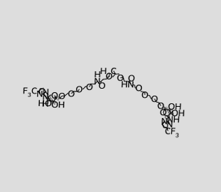 CC(COCCC(=O)NCCOCCOCCOCCOC[C@H]1OC[C@H](Nc2nccc(C(F)(F)F)n2)[C@@H](O)[C@H]1O)COCCC(=O)NCCOCCOCCOCCOC[C@H]1OC[C@H](Nc2nccc(C(F)(F)F)n2)[C@@H](O)[C@H]1O